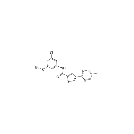 CCSc1cc(Cl)cc(NC(=O)c2cc(-c3ncc(F)cn3)cs2)c1